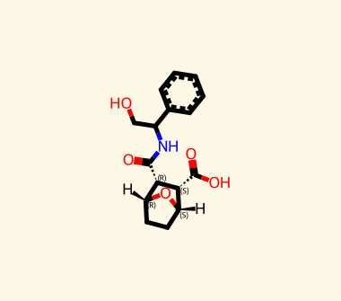 O=C(NC(CO)c1ccccc1)[C@@H]1[C@H](C(=O)O)[C@@H]2CC[C@H]1O2